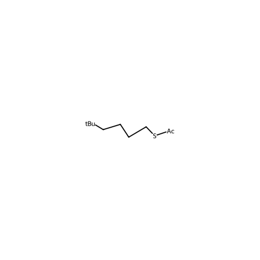 CC(=O)SCCCCC(C)(C)C